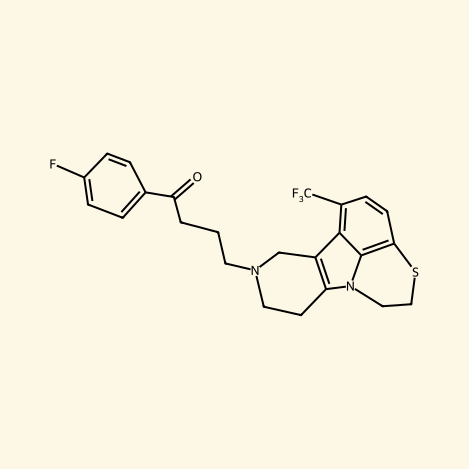 O=C(CCCN1CCc2c(c3c(C(F)(F)F)ccc4c3n2CCS4)C1)c1ccc(F)cc1